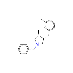 Cc1cccc(C[C@@H]2CN(Cc3ccccc3)C[C@H]2C)c1